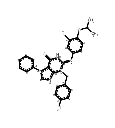 CC(C)Oc1ccc(/N=c2\[nH]c(=O)c3c(ncn3-c3ccccc3)n2Cc2ccc(Cl)cc2)cc1F